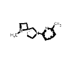 Cc1cccc(N2CC[C@]3(CCN3C)C2)n1